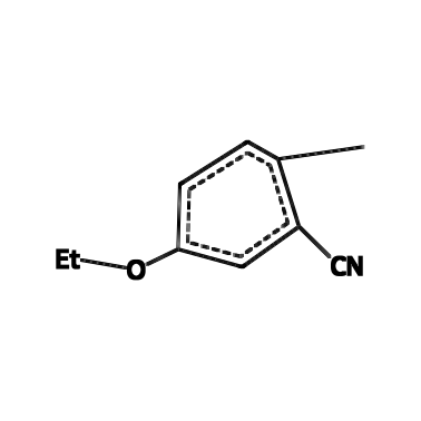 CCOc1ccc(C)c(C#N)c1